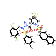 Cc1ccc(S(=O)(=O)N(Cc2cc(F)ccc2F)NC(=O)[C@@H]2C[C@@H](S)CN2S(=O)(=O)c2ccc3ccccc3c2)cc1